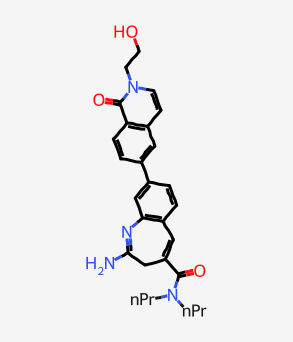 CCCN(CCC)C(=O)C1=Cc2ccc(-c3ccc4c(=O)n(CCO)ccc4c3)cc2N=C(N)C1